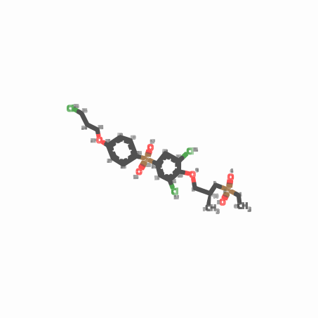 CCS(=O)(=O)C[C@@H](C)COc1c(Cl)cc(S(=O)(=O)c2ccc(OCCCCl)cc2)cc1Cl